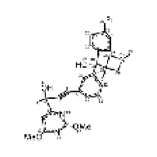 COc1cc(C(C)(O)C#Cc2cncc([C@@](O)(c3ccc(C(C)C)cc3)C3(C)CN(C)C3)c2)nc(OC)n1